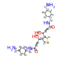 NCc1ccc(CNC(=O)C#CC(O)c2cscc2C(O)C#CC(=O)NCc2ccc(CN)cc2)cc1